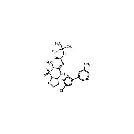 Cc1cncc(-c2cc(Cl)c([C@]34CCOC3S(=O)(=O)N(C)/C(=N\C(=O)OC(C)(C)C)N4)s2)c1